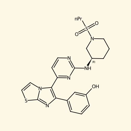 CCCS(=O)(=O)N1CCC[C@@H](Nc2nccc(-c3c(-c4cccc(O)c4)nc4sccn34)n2)C1